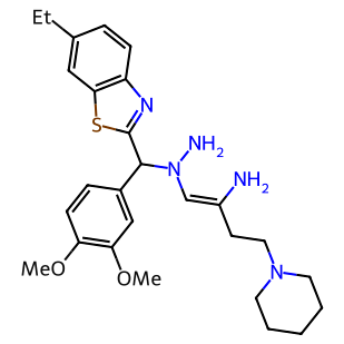 CCc1ccc2nc(C(c3ccc(OC)c(OC)c3)N(N)/C=C(\N)CCN3CCCCC3)sc2c1